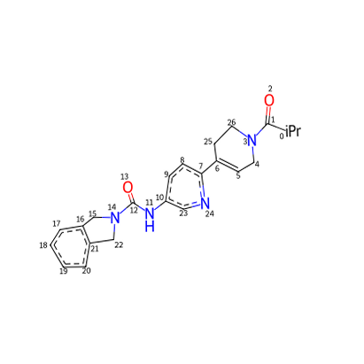 CC(C)C(=O)N1CC=C(c2ccc(NC(=O)N3Cc4ccccc4C3)cn2)CC1